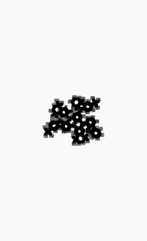 Cc1cc2c(cc1N1c3cc(N4c5ccc(C(C)(C)C)cc5C5(C)CCCCC45C)cc4c3B(c3cc5c(cc3N4c3cccc4c3oc3ccccc34)C(C)(C)CCC5(C)C)c3ccc4c(sc5ccc(C(C)(C)C)cc54)c31)C(C)(C)CCC2(C)C